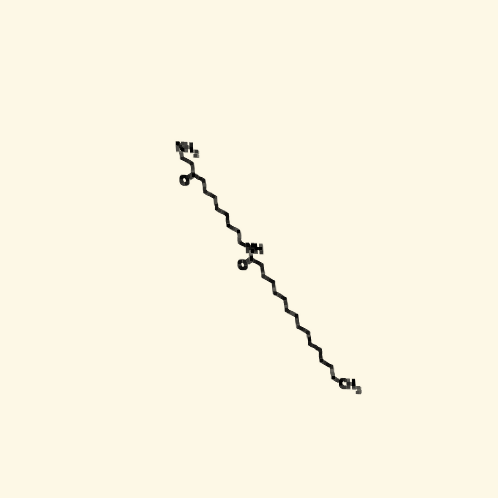 CCCCCCCCCCCCCCCC(=O)NCCCCCCCCC(=O)CCN